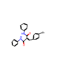 CC(C)c1ccc(C=C(C(=O)Nc2ccccc2)C(=O)Nc2ccccc2)cc1